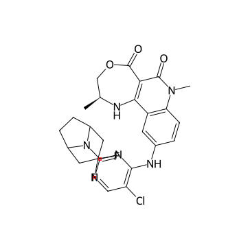 C[C@H]1COC(=O)c2c(c3cc(Nc4nc(N5C6CCC5CC(F)(F)C6)ncc4Cl)ccc3n(C)c2=O)N1